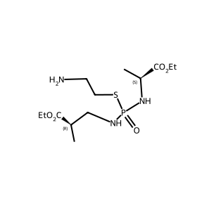 CCOC(=O)[C@H](C)CNP(=O)(N[C@@H](C)C(=O)OCC)SCCN